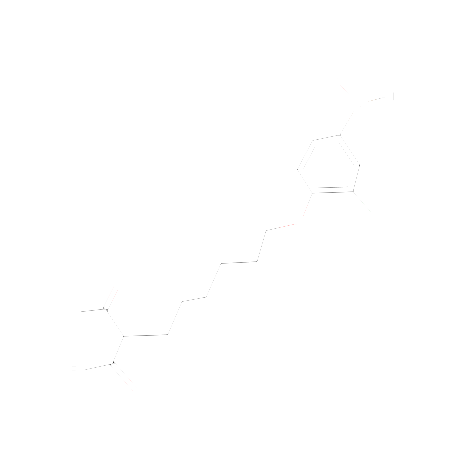 CCC(=O)C(CCCCCCOc1ccc([S+](C)[O-])cc1Cl)C(=O)CC